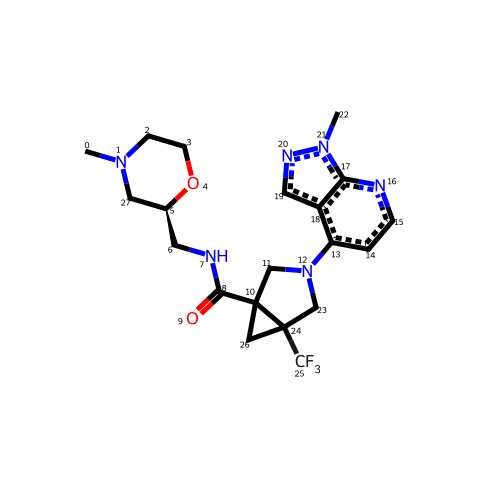 CN1CCO[C@@H](CNC(=O)C23CN(c4ccnc5c4cnn5C)CC2(C(F)(F)F)C3)C1